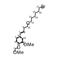 COCOc1ccc(C=CCCOCCCCCCBr)cc1OC